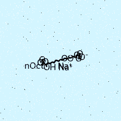 CCCCCCCCC(C(O)CCCCCCCCOCCOCCOS(=O)(=O)[O-])S(=O)(=O)[O-].[Na+].[Na+]